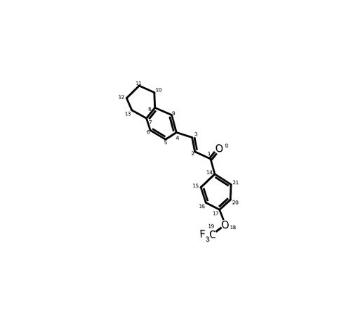 O=C(C=Cc1ccc2c(c1)CCCC2)c1ccc(OC(F)(F)F)cc1